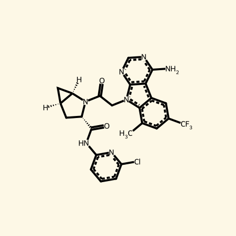 Cc1cc(C(F)(F)F)cc2c3c(N)ncnc3n(CC(=O)N3[C@@H]4C[C@@H]4C[C@H]3C(=O)Nc3cccc(Cl)n3)c12